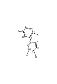 Cc1ccc(C)c(C2=CN(C)C(C)C=C2)n1